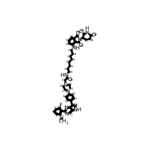 COc1cccc(F)c1-c1ncc2[nH]nc(-c3ccc(N4CCN(CC(=O)NCCCCCCCCNc5cccc6c5C(=O)N(C5CCC(=O)NC5=O)C6=O)CC4)cc3)c2n1